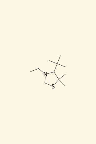 CCN1CSC(C)(C)C1C(C)(C)C